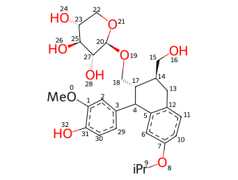 COc1cc(C2c3cc(OC(C)C)ccc3C[C@H](CO)[C@H]2CO[C@@H]2OC[C@@H](O)[C@H](O)[C@H]2O)ccc1O